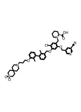 Cc1c(COc2cc(OCc3cncc(C#N)c3)c(CN3CCCC[C@H]3C(=O)O)cc2Cl)cccc1-c1cccc(OCCCN2CCC3(CC2)CCS(=O)(=O)CC3)c1C